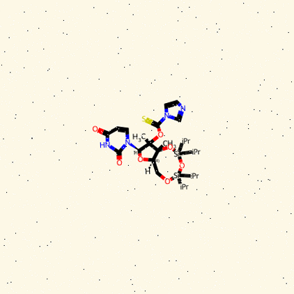 CC(C)[Si]1(C(C)C)OC[C@H]2O[C@@H](n3ccc(=O)[nH]c3=O)C(C)(OC(=S)n3ccnc3)C2(C)O[Si](C(C)C)(C(C)C)O1